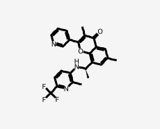 Cc1cc([C@@H](C)Nc2ccc(C(F)(F)F)nc2C)c2oc(-c3cccnc3)c(C)c(=O)c2c1